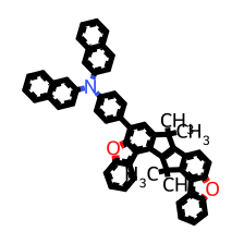 CC1(C)C2=C(c3c1cc(-c1ccc(N(c4ccc5ccccc5c4)c4ccc5ccccc5c4)cc1)c1oc4ccccc4c31)C(C)(C)c1c2ccc2oc3ccccc3c12